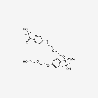 COC(OCCOCCOc1ccc(C(=O)C(C)(C)O)cc1)(c1ccc(OCCOCCO)cc1)C(C)(C)O